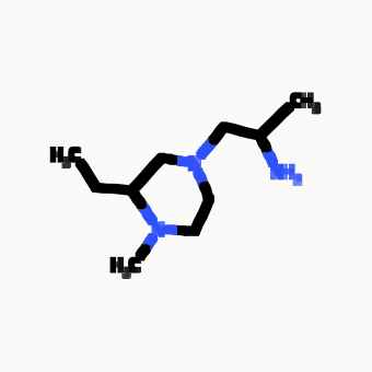 CCC1CN(CC(C)N)CCN1C